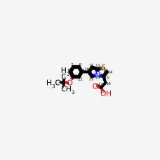 CC(C)(C)Oc1cccc(-c2cc3scc(CC(=O)O)n3c2)c1